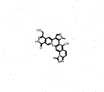 Cc1nnc2ccc3c(C#N)c(-c4c(-c5cc6c(CO)n[nH]c(=O)c6cn5)cnn4C)c(F)cc3n12